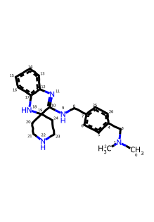 CN(C)Cc1ccc(CNC2=Nc3ccccc3NC23CCNCC3)cc1